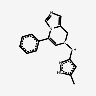 Cc1cc(NN2C=C(c3ccccc3)[N+]3C=NC=C3C2)n[nH]1